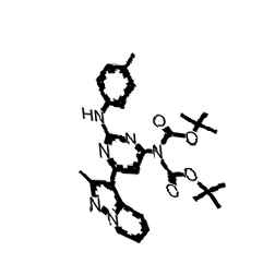 Cc1ccc(Nc2nc(-c3c(C)nn4ccccc34)cc(N(C(=O)OC(C)(C)C)C(=O)OC(C)(C)C)n2)cc1